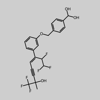 CC(O)(C#CC=C(c1cccc(OCc2ccc(C(O)O)cc2)c1)C(F)C(F)F)C(F)(F)F